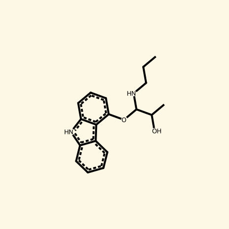 CCCNC(Oc1cccc2[nH]c3ccccc3c12)C(C)O